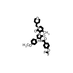 COc1ccc([C@@H]2CN(c3c(C)ccn(CC4CCOCC4)c3=O)C(=O)[C@H]2NC(=O)c2ccc(OC(F)F)cc2)cc1